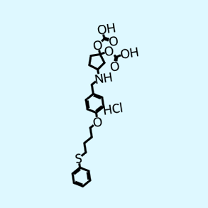 Cl.O=C(O)OC1(OC(=O)O)CCC(NCc2ccc(OCCCCSc3ccccc3)cc2)C1